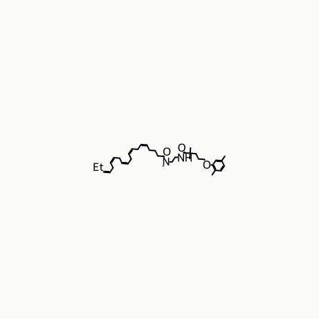 CC/C=C\C/C=C\C/C=C\C/C=C\C/C=C\CCCC(=O)N(C)CCNC(=O)C(C)(C)CCCOc1cc(C)ccc1C